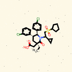 CC[C@]1(CC(=O)O)C[C@H](c2cccc(Cl)c2)[C@@H](c2ccc(Cl)cc2)N(C(CS(=O)(=O)C2CCCC2)C2CC2)C1=O